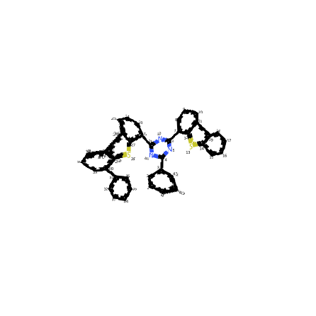 c1ccc(-c2nc(-c3cccc4c3sc3ccccc34)nc(-c3cccc4c3sc3c(-c5ccccc5)cccc34)n2)cc1